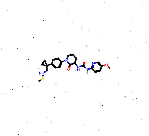 COc1ccc(NC(=O)NC2CCCN(c3ccc(C4(CNSC)CC4)cc3)C2=O)nc1